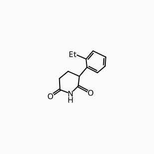 CCc1ccccc1C1CCC(=O)NC1=O